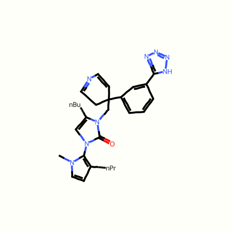 CCCCc1cn(-c2c(CCC)ccn2C)c(=O)n1CC1(c2cccc(-c3nnn[nH]3)c2)C=CN=CC1